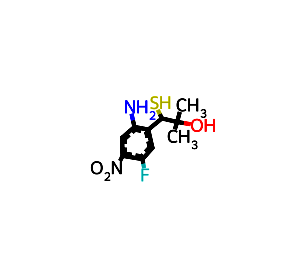 CC(C)(O)C(S)c1cc(F)c([N+](=O)[O-])cc1N